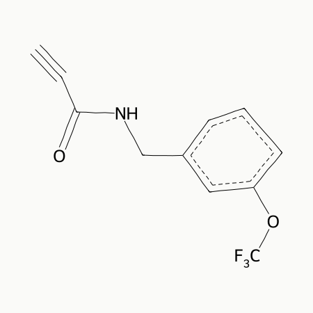 C#CC(=O)NCc1cccc(OC(F)(F)F)c1